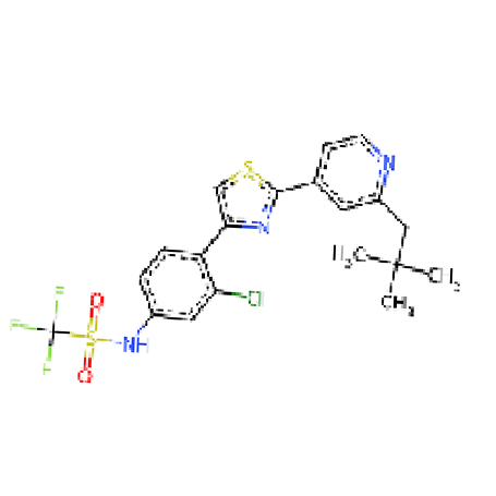 CC(C)(C)Cc1cc(-c2nc(-c3ccc(NS(=O)(=O)C(F)(F)F)cc3Cl)cs2)ccn1